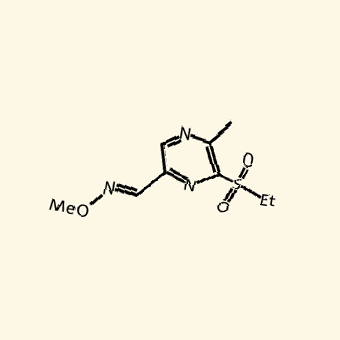 CCS(=O)(=O)c1nc(/C=N/OC)cnc1C